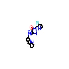 O=C(NCc1ncccc1F)c1ccn(Cc2ccc3cc4ccccc4nc3c2)n1